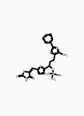 Cc1oc(-c2ccccc2)nc1CCC(O[Si](C)(C)C(C)(C)C)c1ccc(/C=C2/SC(=O)NC2=O)s1